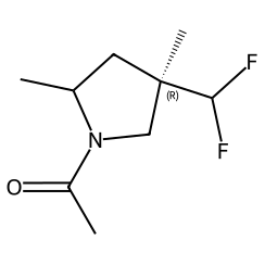 CC(=O)N1C[C@](C)(C(F)F)CC1C